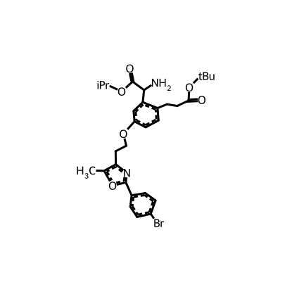 Cc1oc(-c2ccc(Br)cc2)nc1CCOc1ccc(CCC(=O)OC(C)(C)C)c(C(N)C(=O)OC(C)C)c1